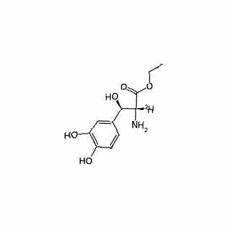 [2H][C@](N)(C(=O)OCC)[C@H](O)c1ccc(O)c(O)c1